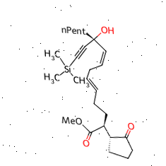 CCCCC[C@](O)(C#C[Si](C)(C)C)/C=C\C/C=C/CC[C@H](C(=O)OC)[C@H]1CCCC1=O